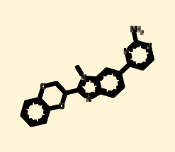 Cn1c(C2COc3ccccc3O2)nc2ccc(-c3ccnc(N)n3)cc21